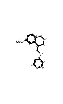 COc1ccc2c(c1)C(CSc1ccncc1)CCC2